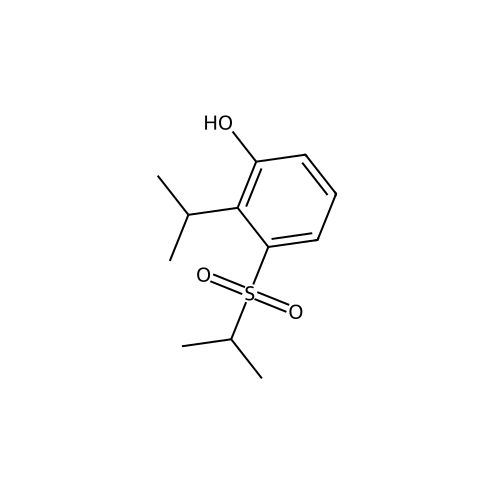 CC(C)c1c(O)cccc1S(=O)(=O)C(C)C